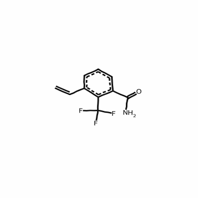 C=Cc1cccc(C(N)=O)c1C(F)(F)F